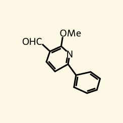 COc1nc(-c2ccccc2)ccc1C=O